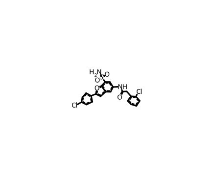 NS(=O)(=O)c1cc(NC(=O)Cc2ccccc2Cl)cc2cc(-c3ccc(Cl)cc3)oc12